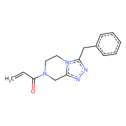 C=CC(=O)N1CCn2c(Cc3ccccc3)nnc2C1